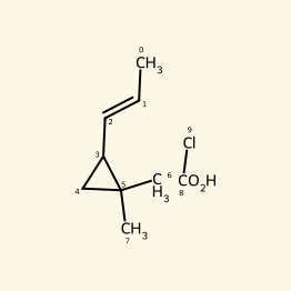 CC=CC1CC1(C)C.O=C(O)Cl